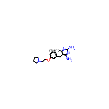 CCCCCc1nc(N)nc(N)c1Cc1cccc(OCCN2CCCC2)c1